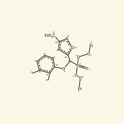 CCOOP(=O)(OOCC)C(Oc1cccc(C)c1C)c1cc(C(=O)OCC)no1